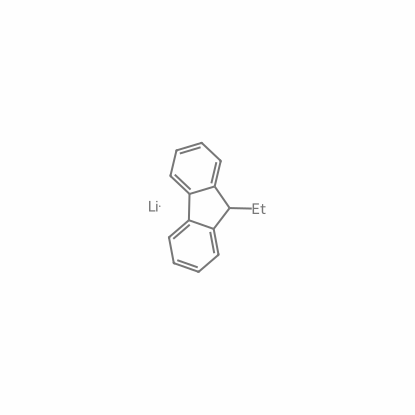 CCC1c2ccccc2-c2ccccc21.[Li]